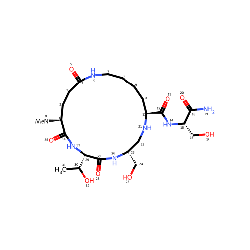 CN[C@H]1CCC(=O)NCCCC[C@@H](C(=O)N[C@@H](CO)C(N)=O)NC[C@H](CO)NC(=O)[C@H](C(C)O)NC1=O